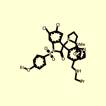 CCOc1ccc(S(=O)(=O)N2C(=O)C(c3cc(CNCC(C)C)ccc3OC)(N3CCCC3c3ncco3)c3cc(Cl)c(Cl)cc32)cc1